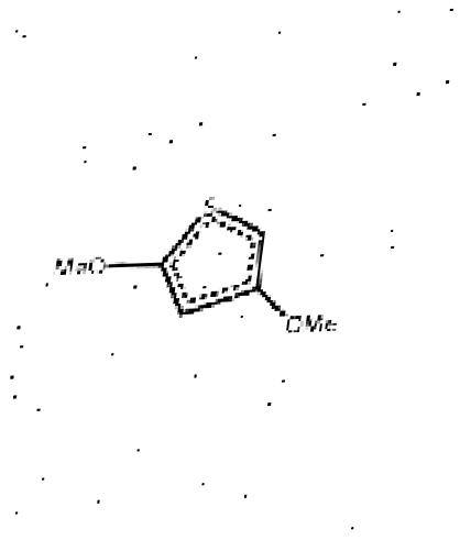 COc1csc(OC)c1